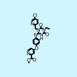 CCn1c(=O)[nH]/c(=N\c2ccc(Oc3ccnc(C(=O)OC)c3)cc2)n(Cc2ccc(Cl)cn2)c1=O